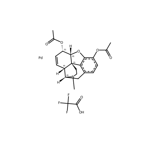 CC(=O)Oc1ccc2c3c1O[C@H]1[C@@H](OC(C)=O)C=C[C@H]4[C@@H](C2)N(C)CC[C@@]341.O=C(O)C(F)(F)F.[Pd]